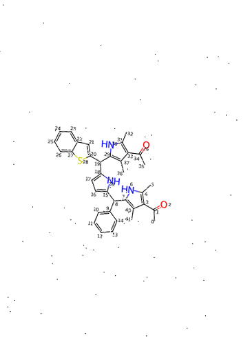 CC(=O)c1c(C)[nH]c(C(c2ccccc2)c2ccc(C(c3cc4ccccc4s3)c3[nH]c(C)c(C(C)=O)c3C)[nH]2)c1C